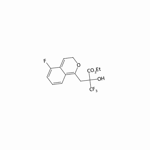 CCOC(=O)C(O)(CC1=c2cccc(F)c2=CCO1)C(F)(F)F